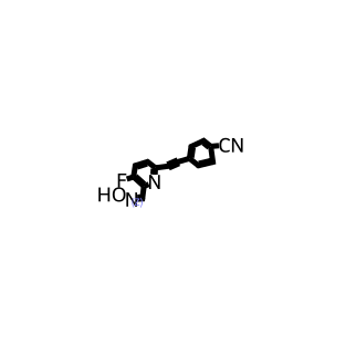 N#Cc1ccc(C#Cc2ccc(F)c(/C=N\O)n2)cc1